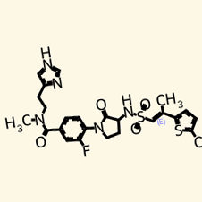 C/C(=C\S(=O)(=O)NC1CCN(c2ccc(C(=O)N(C)CCc3c[nH]cn3)cc2F)C1=O)c1ccc(Cl)s1